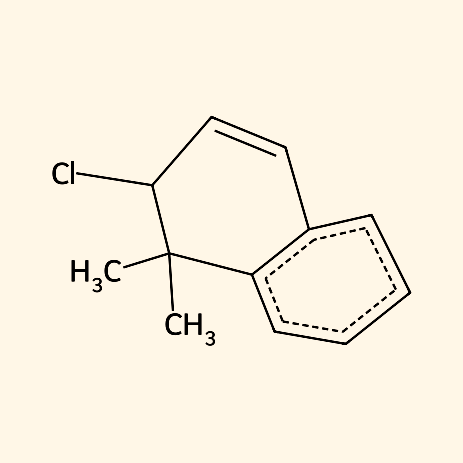 CC1(C)c2ccccc2C=CC1Cl